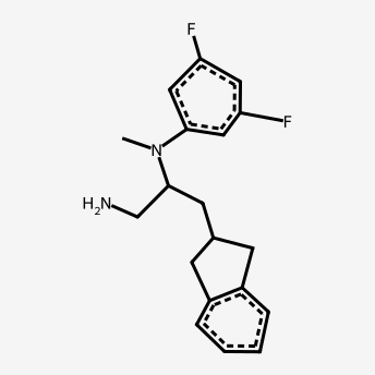 CN(c1cc(F)cc(F)c1)C(CN)CC1Cc2ccccc2C1